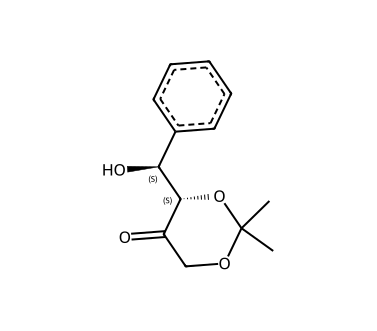 CC1(C)OCC(=O)[C@H]([C@@H](O)c2ccccc2)O1